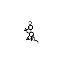 CC12CCC3C4CCC(=O)C=C4C4(CC4)CC3C1C1CC1C2(C)OCCI